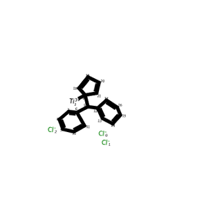 [Cl-].[Cl-].[Cl-].[Ti+3][C]1(C(c2ccccc2)c2ccccc2)C=CC=C1